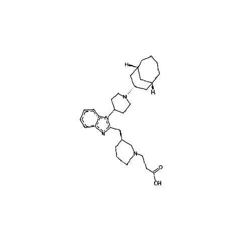 O=C(O)CCN1CCC[C@@H](Cc2nc3ccccc3n2C2CCN([C@@H]3C[C@@H]4CCCC[C@@H](C4)C3)CC2)C1